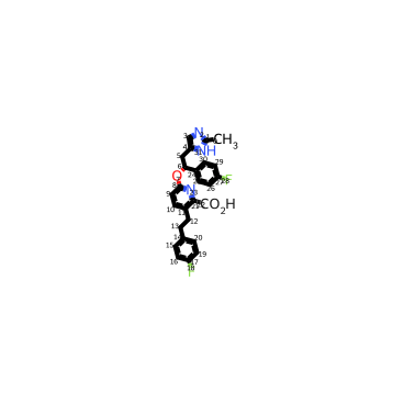 Cc1ncc(CC(Oc2ccc(CCc3ccc(F)cc3)c(C(=O)O)n2)c2ccc(F)cc2)[nH]1